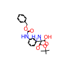 CC(C)(C)OC(=O)[C@@](N)(C(=O)O)c1cccc(NC(=O)OCc2ccccc2)c1